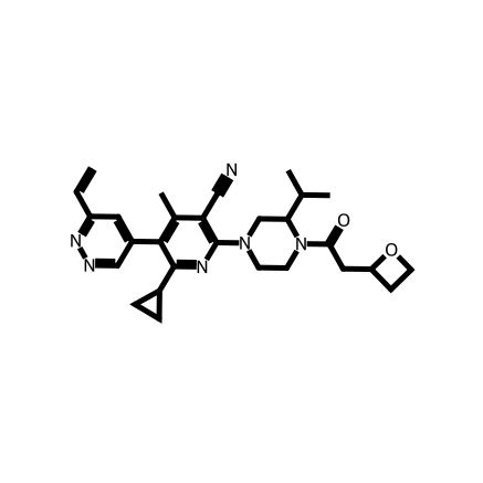 C=Cc1cc(-c2c(C3CC3)nc(N3CCN(C(=O)CC4CCO4)C(C(C)C)C3)c(C#N)c2C)cnn1